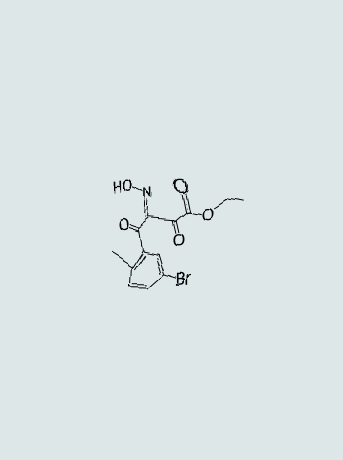 CCOC(=O)C(=O)/C(=N/O)C(=O)c1cc(Br)ccc1C